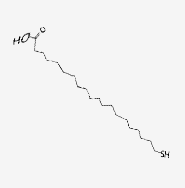 O=C(O)CCCCCCCCCCCCCCCCCCCS